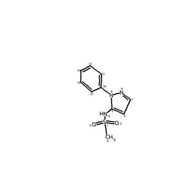 CS(=O)(=O)Nc1ccnn1-c1ccccc1